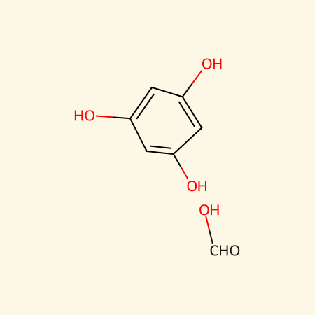 O=CO.Oc1cc(O)cc(O)c1